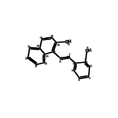 Oc1ccccc1N=Nc1c(O)ccc2ccccc12